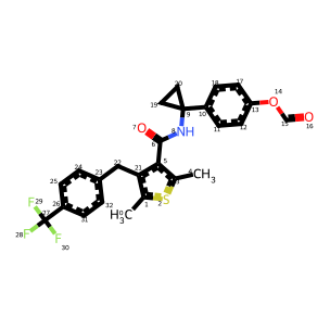 Cc1sc(C)c(C(=O)NC2(c3ccc(OC=O)cc3)CC2)c1Cc1ccc(C(F)(F)F)cc1